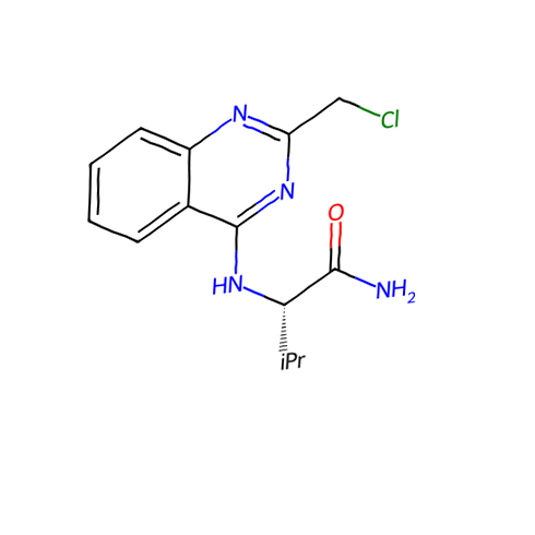 CC(C)[C@H](Nc1nc(CCl)nc2ccccc12)C(N)=O